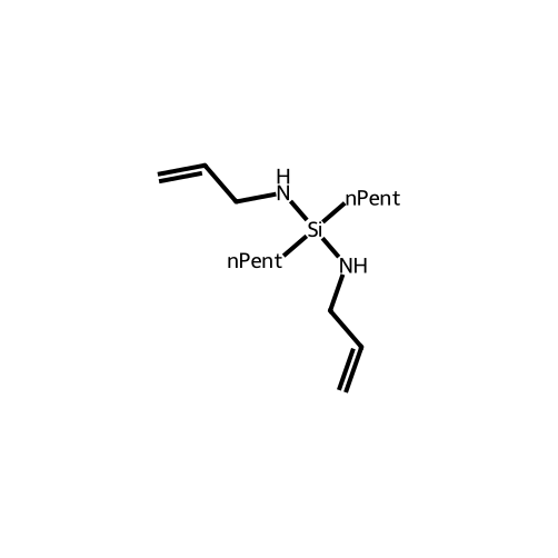 C=CCN[Si](CCCCC)(CCCCC)NCC=C